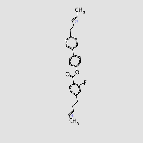 C/C=C/CCc1ccc(-c2ccc(OC(=O)c3ccc(CC/C=C/C)cc3F)cc2)cc1